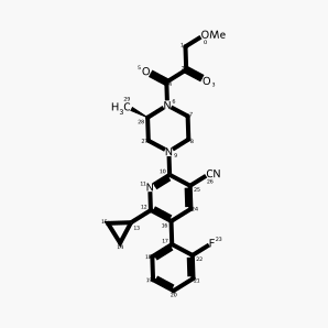 COCC(=O)C(=O)N1CCN(c2nc(C3CC3)c(-c3ccccc3F)cc2C#N)C[C@H]1C